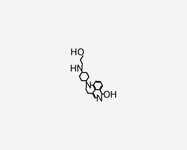 OCCCNC1CCC(N2CCc3cnc(O)c4cccc2c34)CC1